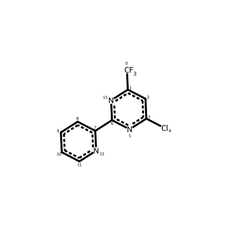 FC(F)(F)c1cc(Cl)nc(-c2ccccn2)n1